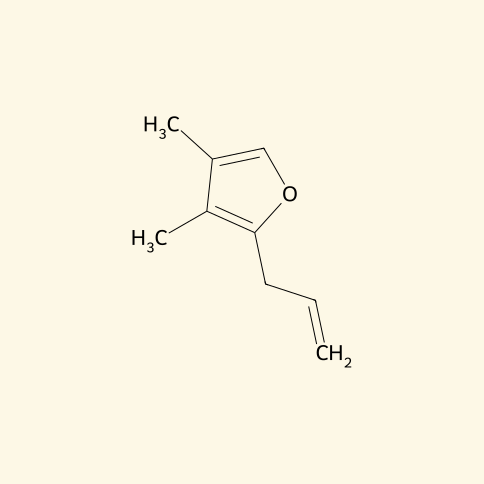 C=CCc1occ(C)c1C